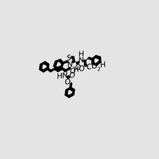 O=C(NC(CCCCc1ccccc1)C(=O)N1C(c2ccccc2)SC[C@H]1C(=O)N[C@@H](Cc1ccccc1)C(O)C(=O)O)OCc1ccccc1